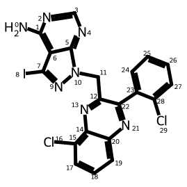 Nc1ncnc2c1c(I)nn2Cc1nc2c(Cl)cccc2nc1-c1ccccc1Cl